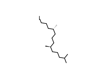 CC(C)CCC[C@@H](C)CCC[C@@H](C)CCCI